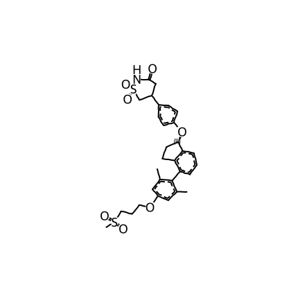 Cc1cc(OCCCS(C)(=O)=O)cc(C)c1-c1cccc2c1CC[C@H]2Oc1ccc(C2CC(=O)NS(=O)(=O)C2)cc1